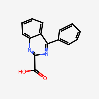 O=C(O)c1nc(-c2ccccc2)c2ccccc2n1